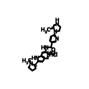 C[C@H]1CNCCN1c1ccc(C(=O)Nc2cc3[nH]c([C@H]4CCCN4C)cc3cn2)cn1.Cl.Cl